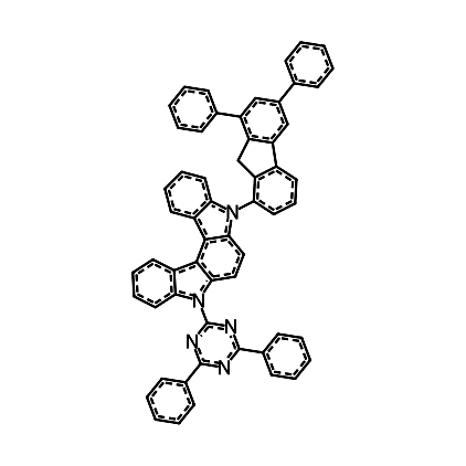 c1ccc(-c2cc(-c3ccccc3)c3c(c2)-c2cccc(-n4c5ccccc5c5c6c7ccccc7n(-c7nc(-c8ccccc8)nc(-c8ccccc8)n7)c6ccc54)c2C3)cc1